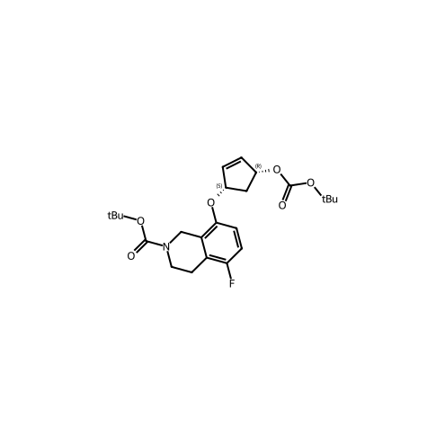 CC(C)(C)OC(=O)O[C@H]1C=C[C@@H](Oc2ccc(F)c3c2CN(C(=O)OC(C)(C)C)CC3)C1